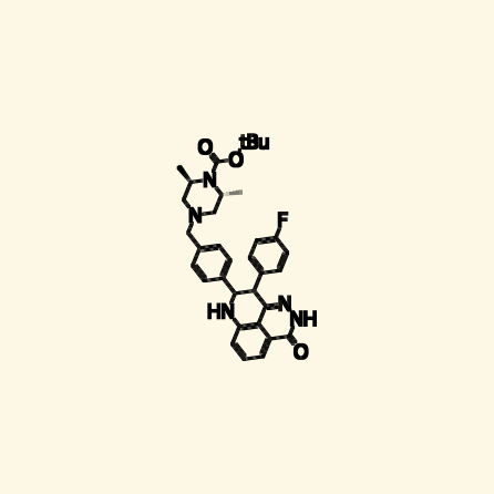 C[C@@H]1CN(Cc2ccc(C3Nc4cccc5c(=O)[nH]nc(c45)C3c3ccc(F)cc3)cc2)C[C@@H](C)N1C(=O)OC(C)(C)C